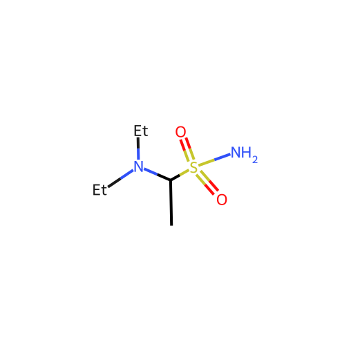 CCN(CC)C(C)S(N)(=O)=O